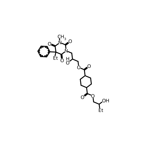 CCC(O)COC(=O)C1CCC(C(=O)OCC(O)CN2C(=O)N(C)C(=O)C(CC)(c3ccccc3)C2=O)CC1